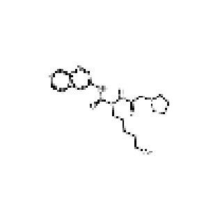 CC(=O)CCCCCC(NC(=O)CN1CCCC1)C(=O)Nc1cnc2ccccc2c1